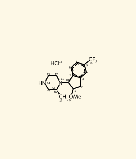 COC1Cc2cc(C(F)(F)F)ccc2C1N1CCNC[C@@H]1C.Cl